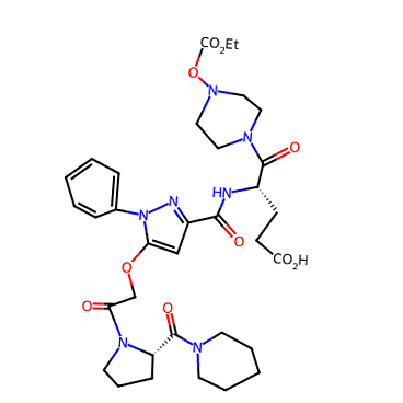 CCOC(=O)ON1CCN(C(=O)[C@H](CCC(=O)O)NC(=O)c2cc(OCC(=O)N3CCC[C@H]3C(=O)N3CCCCC3)n(-c3ccccc3)n2)CC1